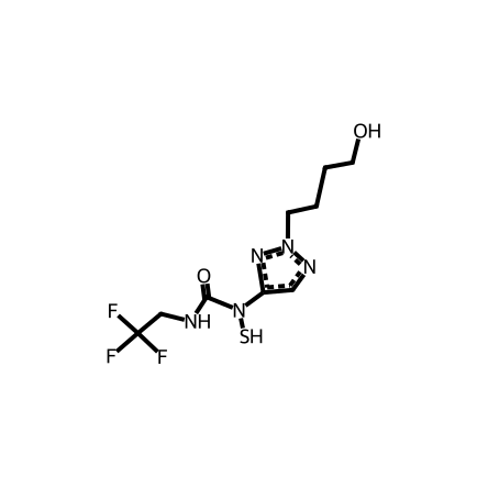 O=C(NCC(F)(F)F)N(S)c1cnn(CCCCO)n1